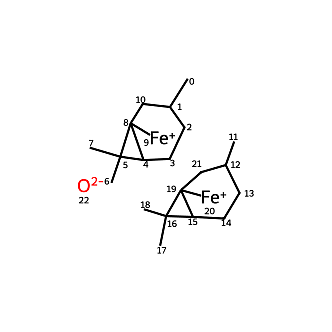 CC1CCC2C(C)(C)[C]2([Fe+])C1.CC1CCC2C(C)(C)[C]2([Fe+])C1.[O-2]